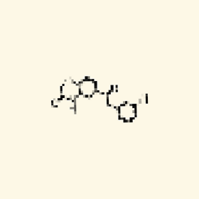 O=C1COc2ccc(C(=O)Cc3cccc(Cl)c3)cc2N1